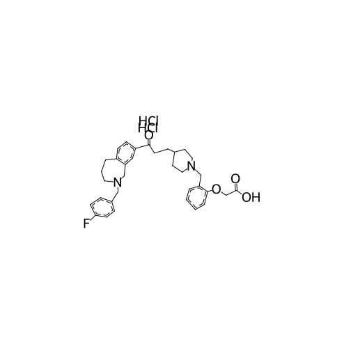 Cl.Cl.O=C(O)COc1ccccc1CN1CCC(CCC(=O)c2ccc3c(c2)CN(Cc2ccc(F)cc2)CCC3)CC1